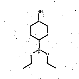 CCO[SiH](OCC)C1CCC(N)CC1